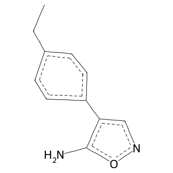 CCc1ccc(-c2cnoc2N)cc1